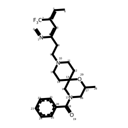 C=N/C(=C\C(=C/C)C(F)(F)F)CCN1CCC2(CC1)CN(C(=O)c1ccccc1)CC(C)O2